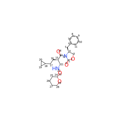 O=C1OC[C@H](Cc2ccccc2)N1C(=O)[C@H](CCC1CC1)CNOC1CCCCO1